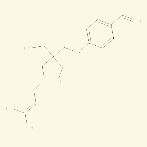 C=Cc1ccc(OCC(CC)(CO)COCC=C(C)C)cc1